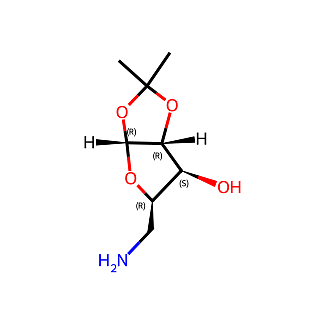 CC1(C)O[C@H]2O[C@H](CN)[C@H](O)[C@H]2O1